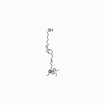 CCO[Si](CCCSCCC1CC2CC1CC2SCCCCCCS)(OCC)OCC